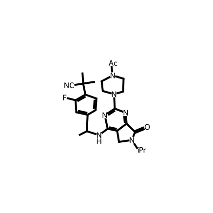 CC(=O)N1CCN(c2nc(NC(C)c3ccc(C(C)(C)C#N)c(F)c3)c3c(n2)C(=O)N(C(C)C)C3)CC1